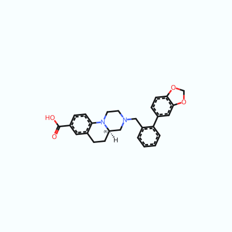 O=C(O)c1ccc2c(c1)CC[C@@H]1CN(Cc3ccccc3-c3ccc4c(c3)OCO4)CCN21